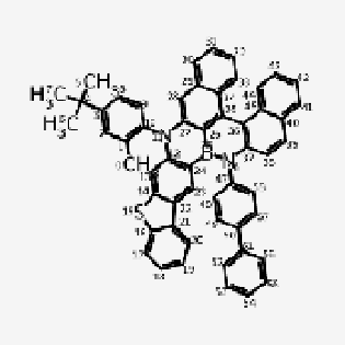 Cc1cc(C(C)(C)C)ccc1N1c2cc3sc4ccccc4c3cc2B2c3c1cc1ccccc1c3-c1c(ccc3ccccc13)N2c1ccc(-c2ccccc2)cc1